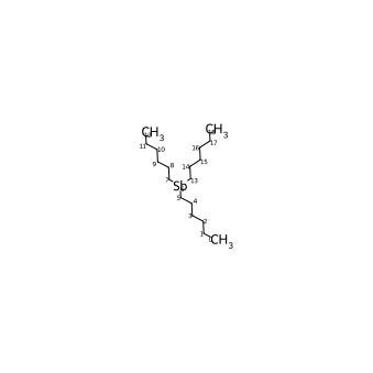 CCCCC[CH2][Sb]([CH2]CCCCC)[CH2]CCCCC